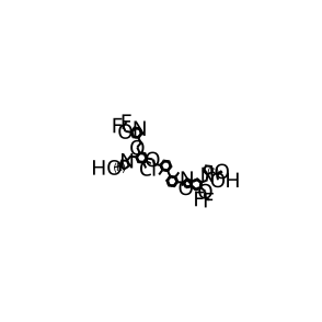 Cc1c(COc2cc(OCc3cncc(OC(F)F)c3)c(CN3CC[C@@H](O)C3)cc2Cl)cccc1-c1cccc(-c2nc3cc(CN4CCC[C@H]4C(=O)O)c(OC(F)F)cc3o2)c1C